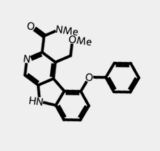 CNC(=O)c1ncc2[nH]c3cccc(Oc4ccccc4)c3c2c1COC